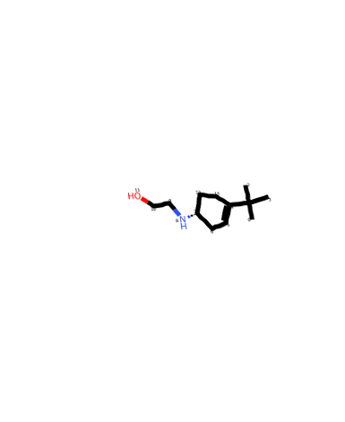 CC(C)(C)C1=CC[C@H](NCCO)CC1